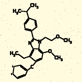 CCc1c(CC2=C[C][C]C=C2)cc(OC)c2c1nc(-c1ccc(C(C)C)cc1)n2CCOC